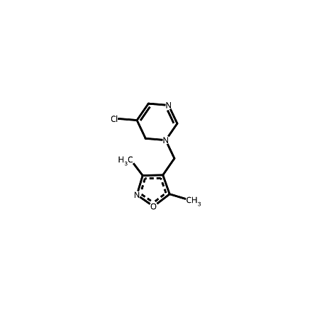 Cc1noc(C)c1CN1C=NC=C(Cl)C1